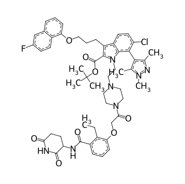 CCc1c(OCC(=O)N2CCN(CCn3c(C(=O)OC(C)(C)C)c(CCCOc4cccc5cc(F)ccc45)c4ccc(Cl)c(-c5c(C)nn(C)c5C)c43)CC2)cccc1C(=O)NC1CCC(=O)NC1=O